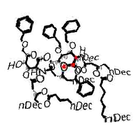 CCCCCCCCCCCCCCCC(=O)O[C@H](CCCCCCCCCCC)CC(=O)N[C@@H]1[C@@H](OCc2ccccc2)O[C@H](CO[C@@H]2O[C@H](COCc3ccccc3)[C@@H](O)[C@H](OC(=O)C[C@@H](CCCCCCCCCCC)OC(=O)CCCCCCCCCCCCC)[C@@H]2NC(=O)C[C@@H](CCCCCCCCCCC)OC(=O)CCCCCCCCCCC)[C@@H](OCc2ccccc2)[C@@H]1OCc1ccccc1